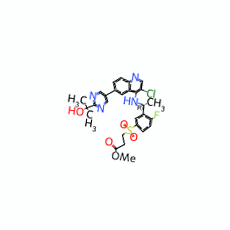 COC(=O)CCS(=O)(=O)c1ccc(F)c([C@@H](C)Nc2c(Cl)cnc3ccc(-c4cnc(C(C)(C)O)nc4)cc23)c1